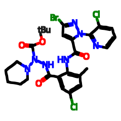 Cc1cc(Cl)cc(C(=O)NN(C(=O)OC(C)(C)C)N2CCCCC2)c1NC(=O)c1cc(Br)nn1-c1ncccc1Cl